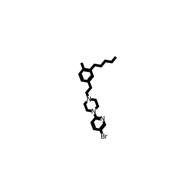 CCCCCc1cc(CCN2CCN(c3ccc(Br)cn3)CC2)ccc1C